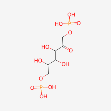 O=C(COP(=O)(O)O)C(O)C(O)C(O)COP(=O)(O)O